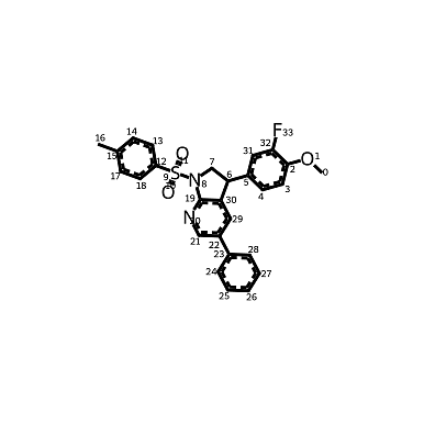 COc1ccc(C2CN(S(=O)(=O)c3ccc(C)cc3)c3ncc(-c4ccccc4)cc32)cc1F